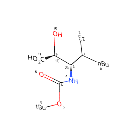 CCCCC(CC)[C@@H](NC(=O)OC(C)(C)C)[C@H](O)C(=O)O